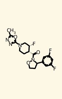 Cc1nnc(N2CC[C@@H](C(=O)N3OCCC3c3cc(F)cc(F)c3)[C@@H](F)C2)o1